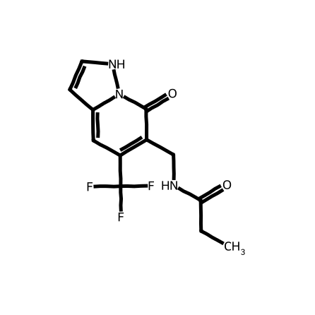 CCC(=O)NCc1c(C(F)(F)F)cc2cc[nH]n2c1=O